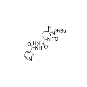 CCCCON1C(=O)N2C[C@@H]1CC[C@H]2C(=O)NNC(=O)c1cccnc1